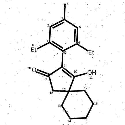 CCc1cc(C)cc(CC)c1C1=C(O)C2(CCCCC2)CC1=O